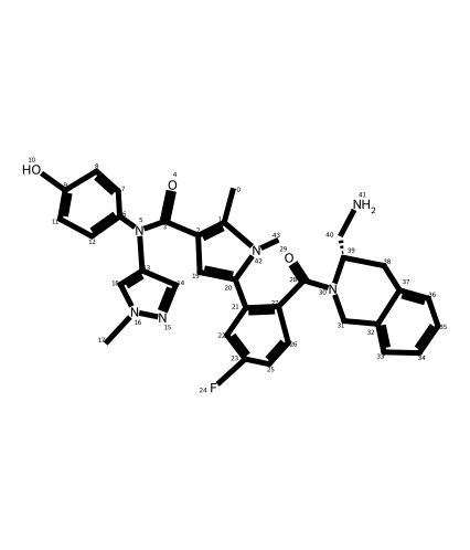 Cc1c(C(=O)N(c2ccc(O)cc2)c2cnn(C)c2)cc(-c2cc(F)ccc2C(=O)N2Cc3ccccc3C[C@H]2CN)n1C